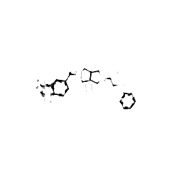 O=C(COc1ccccc1)N1C[C@H]2CN(C(=O)c3ccc4[nH]nnc4c3)C[C@@H]2C1